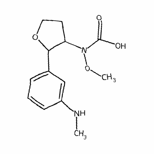 CNc1cccc(C2OCCC2N(OC)C(=O)O)c1